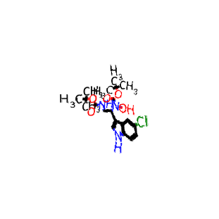 CC(C)(C)OC(=O)NCC(c1c[nH]c2ccc(Cl)cc12)N(O)C(=O)OC(C)(C)C